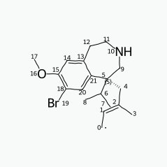 [CH2]C=C(C)C[C@@]1(C(C)C)CNCCc2cc(OC)c(Br)cc21